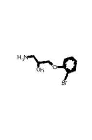 NCC(O)COc1ccccc1Br